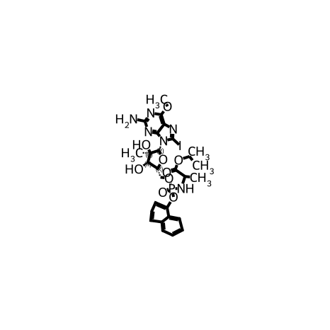 COc1nc(N)nc2c1nc(I)n2[C@@H]1O[C@H](COP(=O)(NC(C)C(=O)OC(C)C)Oc2cccc3ccccc23)[C@@H](O)[C@@]1(C)O